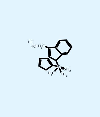 CC1=C[CH]([Zr]([CH3])([CH3])(=[SiH2])[C]2=CC=CC2)c2ccccc21.Cl.Cl